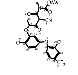 COC(=O)N(C)C(=O)C(C#N)C(=O)C(C)Oc1cc(Oc2ccc(C(F)(F)F)cc2Cl)ccc1Cl